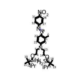 Cc1cc(N(CCO[SiH2]C(C)(C)C(C)C)CCO[SiH2]C(C)(C)C(C)C)ccc1/N=N/c1ccc([N+](=O)[O-])cc1